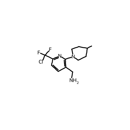 CC1CCN(c2nc(C(F)(F)Cl)ccc2CN)CC1